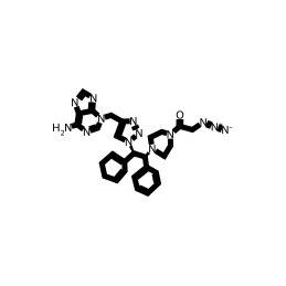 [N-]=[N+]=NCC(=O)N1CCN([C@@H](c2ccccc2)[C@@H](C2=CCCC=C2)n2cc(Cn3cnc(N)c4ncnc3-4)nn2)CC1